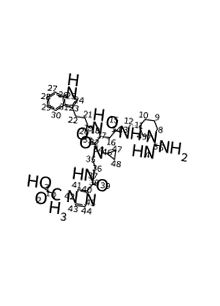 CC(=O)O.N=C(N)N1CCC[C@@H](CNC(=O)C[C@H](NC(=O)CCc2c[nH]c3ccccc23)C(=O)N(CCNC(=O)c2cnccn2)C2CC2)C1